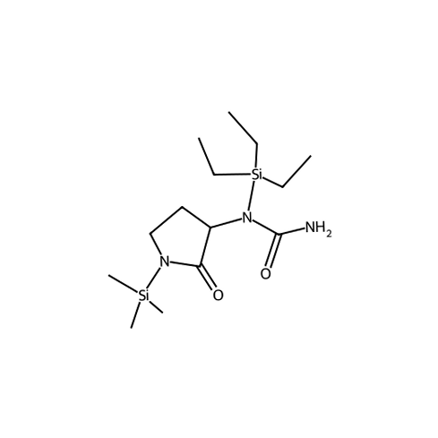 CC[Si](CC)(CC)N(C(N)=O)C1CCN([Si](C)(C)C)C1=O